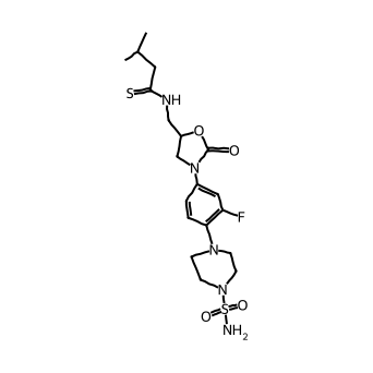 CC(C)CC(=S)NCC1CN(c2ccc(N3CCN(S(N)(=O)=O)CC3)c(F)c2)C(=O)O1